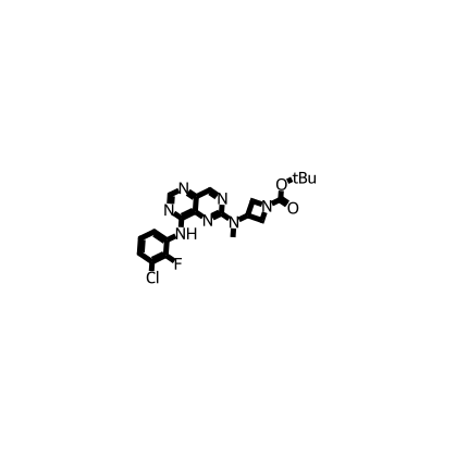 CN(c1ncc2ncnc(Nc3cccc(Cl)c3F)c2n1)C1CN(C(=O)OC(C)(C)C)C1